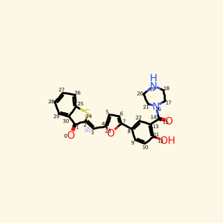 O=C1/C(=C/c2ccc(-c3ccc(O)c(C(=O)N4CCNCC4)c3)o2)Sc2ccccc21